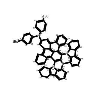 CC(C)(C)c1ccc(N(c2ccc(C(C)(C)C)cc2)c2cc3c4ccccc4c4c5c6c(c7c8ccccc8c(c2)c3c47)-n2c3ccccc3c3cccc(c32)B6c2cccc3c4c(n-5c23)C=CCC4)cc1